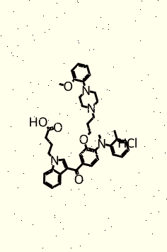 COc1ccccc1N1CCN(CCCOc2cc(C(=O)c3cn(CCCC(=O)O)c4ccccc34)ccc2N(C)c2ccccc2C)CC1.Cl